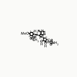 COc1ccc(C#Cc2cn([C@@H]3C[C@H](CNS(N)(=O)=O)[C@@H](O)[C@H]3O)c3ncnc(N)c23)c(S(C)(=O)=O)c1